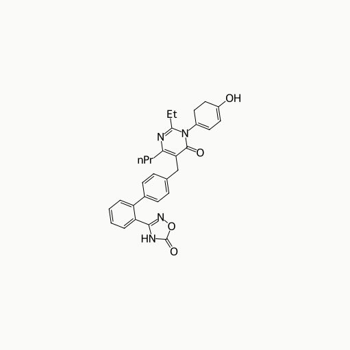 CCCc1nc(CC)n(C2=CC=C(O)CC2)c(=O)c1Cc1ccc(-c2ccccc2-c2noc(=O)[nH]2)cc1